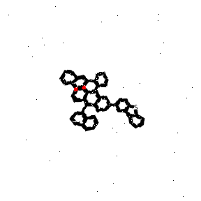 c1ccc(-c2c3ccccc3c(-c3cccc4ccccc34)c3ccc(-c4ccc5sc6ccccc6c5c4)cc23)c(-c2ccc3ccccc3c2)c1